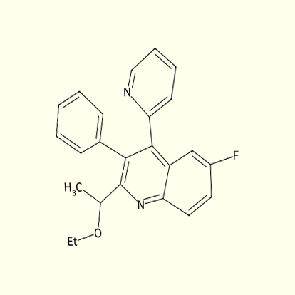 CCOC(C)c1nc2ccc(F)cc2c(-c2ccccn2)c1-c1ccccc1